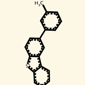 Cc1cccc(-c2ccc3sc4ccccc4c3c2)c1